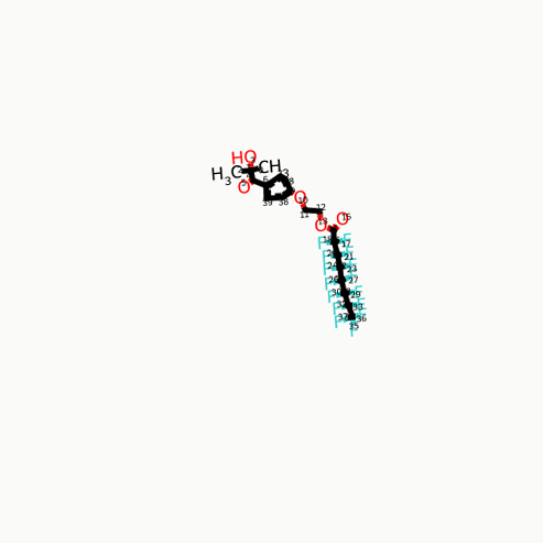 CC(C)(O)C(=O)c1ccc(OCCOC(=O)C(F)(F)C(F)(F)C(F)(F)C(F)(F)C(F)(F)C(F)(F)C(F)(F)F)cc1